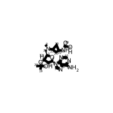 CN(C[C@H]1O[C@@H](n2cnc3c(N)ncnc32)[C@@H]2OC(C)(C)O[C@@H]21)C1CC(NC(=O)O)C1